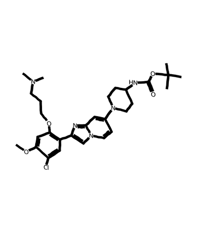 COc1cc(OCCCN(C)C)c(-c2cn3ccc(N4CCC(NC(=O)OC(C)(C)C)CC4)cc3n2)cc1Cl